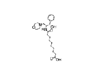 O=C(O)CCCCCCCCC(=O)N[C@@H](CN1CCOCC1)[C@@H](O)c1ccccc1